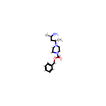 CC[C@@H](N)C[C@H](C)N1CCN(C(=O)OCc2ccccc2)CC1